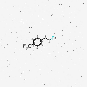 FCCc1ccc(C(F)(F)F)cc1